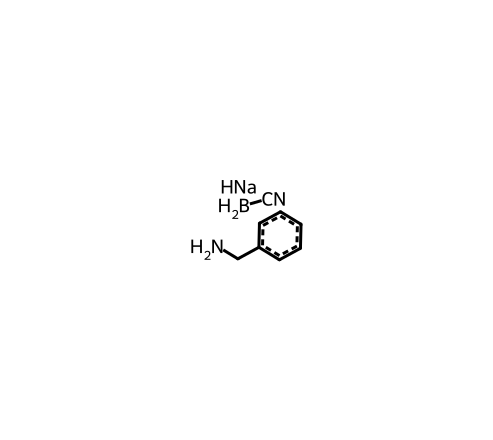 BC#N.NCc1ccccc1.[NaH]